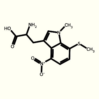 CSc1ccc([N+](=O)[O-])c2c(CC(N)C(=O)O)cn(C)c12